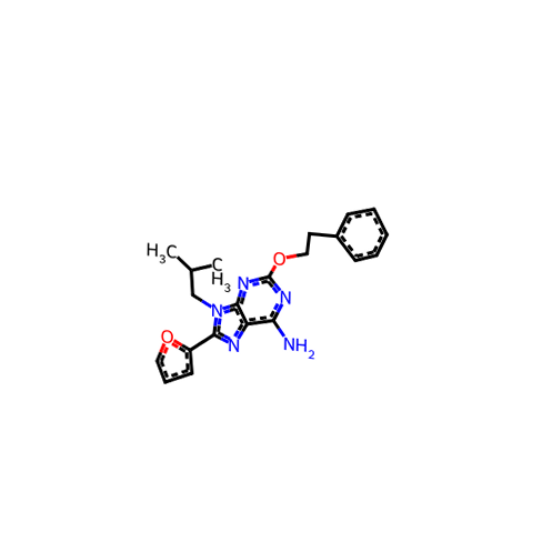 CC(C)Cn1c(-c2ccco2)nc2c(N)nc(OCCc3ccccc3)nc21